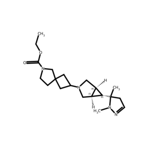 CCOC(=O)N1CCC2(CC(N3C[C@@H]4[C@H](C3)[C@H]4C3(C)CC=NN3C)C2)C1